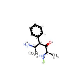 C[C@@H](NF)C(=O)C(c1ccccc1)[C@H](N)C(=O)O